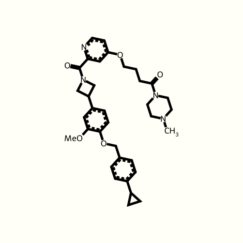 COc1cc(C2CN(C(=O)c3cc(OCCCC(=O)N4CCN(C)CC4)ccn3)C2)ccc1OCc1ccc(C2CC2)cc1